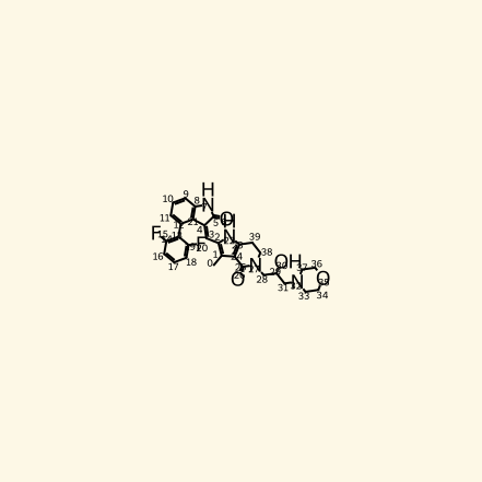 Cc1c(/C=C2\C(=O)Nc3cccc(-c4c(F)cccc4F)c32)[nH]c2c1C(=O)N(C[C@@H](O)CN1CCOCC1)CC2